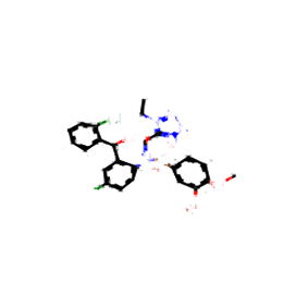 CCn1nnnc1CN(c1ccc(Cl)cc1C(O)c1ccccc1Cl)S(=O)(=O)c1ccc(OC)c(OC)c1